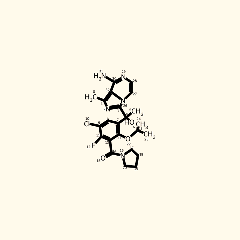 Cc1nc(C(C)(O)c2cc(Cl)c(F)c(C(=O)N3CCCC3)c2OC(C)C)n2ccnc(N)c12